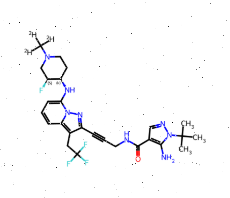 [2H]C([2H])([2H])N1CC[C@@H](Nc2cccc3c(CC(F)(F)F)c(C#CCNC(=O)c4cnn(C(C)(C)C)c4N)nn23)[C@@H](F)C1